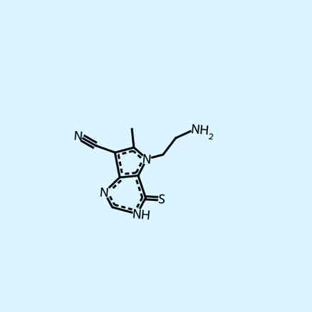 Cc1c(C#N)c2nc[nH]c(=S)c2n1CCN